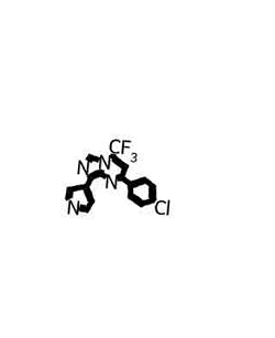 FC(F)(F)c1cc(-c2ccc(Cl)cc2)nc2c(-c3ccncc3)ncn12